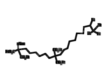 CCCCCCCCCC(CCCCCCC(CCCCCCCCC(CC)C(CC)(CC)CC)(C(=O)OCC)C(=O)OCC)(C(=O)OCC)C(=O)OCC